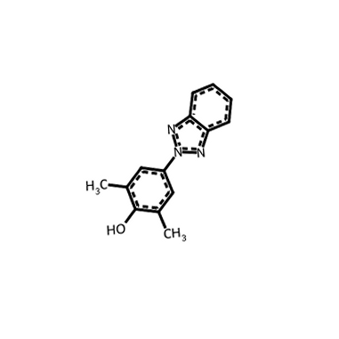 Cc1cc(-n2nc3ccccc3n2)cc(C)c1O